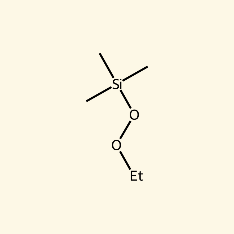 CCOO[Si](C)(C)C